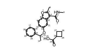 CNC(=O)c1c(C)oc2ccc(OC(C)c3ccccc3)cc12.O=C(O)C1CCC1